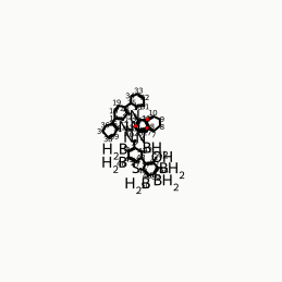 BC1=C(c2nc(C3=CCCC=C3)nc(-n3c4c(c5ccc6c(c53)N(c3ccccc3)C3=CC=CCC36)CCC=C4)n2)C(B)C2C(=C1B)Sc1c(B)c(B)c(B)c(O)c12